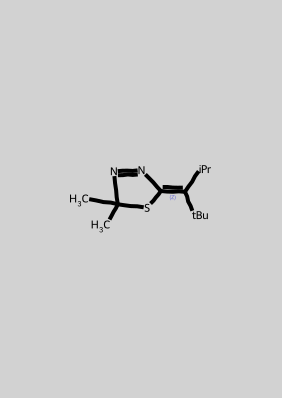 CC(C)/C(=C1\N=NC(C)(C)S1)C(C)(C)C